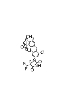 COc1ccc(Cc2c(Cl)cc(-n3nc(C(F)F)c(=O)[nH]c3=O)cc2Cl)cc1S(=O)(=O)Cl